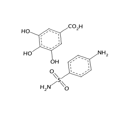 Nc1ccc(S(N)(=O)=O)cc1.O=C(O)c1cc(O)c(O)c(O)c1